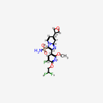 COc1nc(OCC(F)F)c(F)cc1-c1nc2cc(C3COC3)ccn2c1S(N)(=O)=O